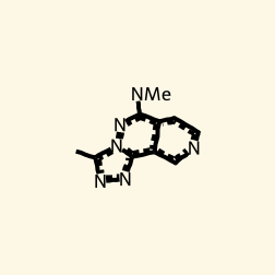 CNc1nn2c(C)nnc2c2cnccc12